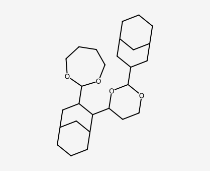 C1CCOC(C2CC3CCCC(C3)C2C2CCOC(C3CC4CCCC(C4)C3)O2)OC1